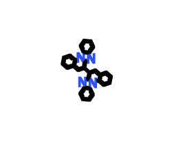 c1ccc2c(c1)cc(-c1cc3ccccc3n3c1nc1ccccc13)c1nc3ccccc3n12